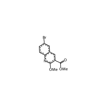 COC(=O)c1cc2cc(Br)ccc2nc1OC